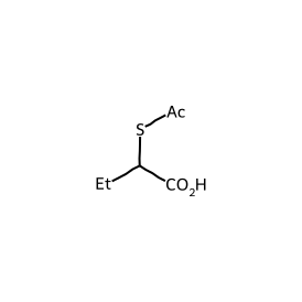 CCC(SC(C)=O)C(=O)O